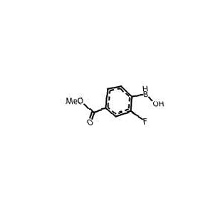 COC(=O)c1ccc(BO)c(F)c1